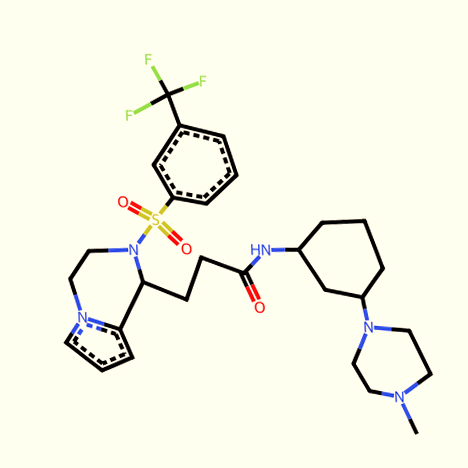 CN1CCN(C2CCCC(NC(=O)CCC3c4cccn4CCN3S(=O)(=O)c3cccc(C(F)(F)F)c3)C2)CC1